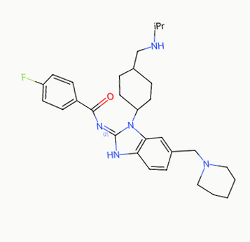 CC(C)NCC1CCC(n2/c(=N\C(=O)c3ccc(F)cc3)[nH]c3ccc(CN4CCCCC4)cc32)CC1